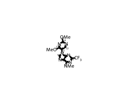 CNc1nc(C(F)(F)F)nc2c1ncn2-c1cnc(OC)nc1OC